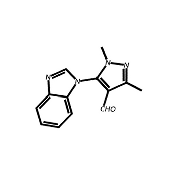 Cc1nn(C)c(-n2cnc3ccccc32)c1C=O